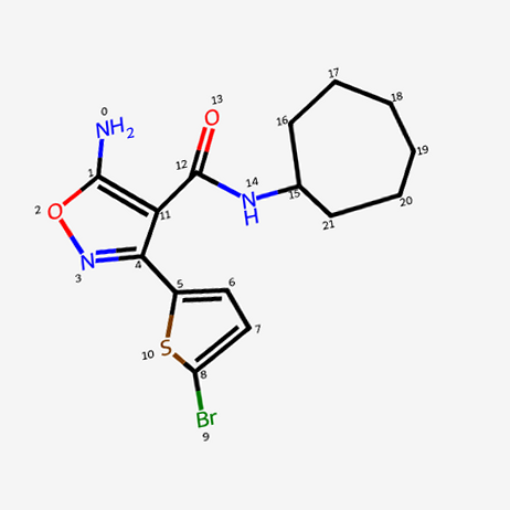 Nc1onc(-c2ccc(Br)s2)c1C(=O)NC1CCCCCC1